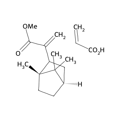 C=C(C(=O)OC)C1C[C@H]2CC[C@@]1(C)C2(C)C.C=CC(=O)O